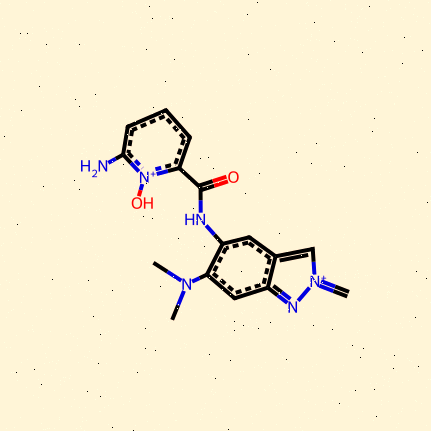 C=[N+]1C=c2cc(NC(=O)c3cccc(N)[n+]3O)c(N(C)C)cc2=N1